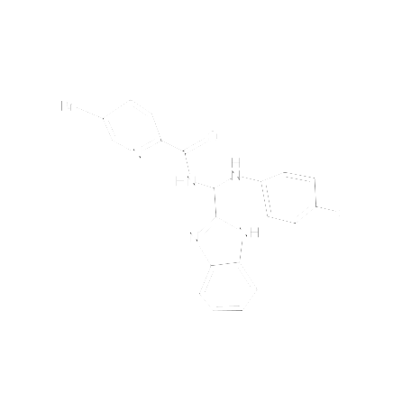 O=C(NC(Nc1ccc(Cl)cc1)c1nc2ccccc2[nH]1)c1ccc(Br)cn1